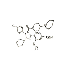 CCOc1cc(OC)ccc1C1=NC(C2CCCC2)C(c2ccc(Cl)cc2)N1C(=O)N1CCC(N2CCCC2)CC1